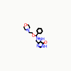 O=c1[nH]cnc2c1NN(C(OCCN1CCOCC1)c1ccccc1)C2